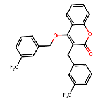 O=c1oc2ccccc2c(OCc2cccc(C(F)(F)F)c2)c1Cc1cccc(C(F)(F)F)c1